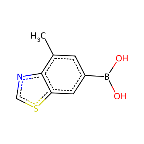 Cc1cc(B(O)O)cc2scnc12